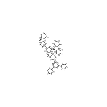 c1ccc(-c2nc(-c3ccccc3)nc(-c3ccc4c(c3)oc3cc(-c5ccc6oc7ccccc7c6c5)cc(-n5c6ccccc6c6ccccc65)c34)n2)cc1